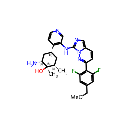 COCc1cc(F)c(-c2ccc3cnc(Nc4cnccc4[C@H]4C[C@@H](N)[C@](C)(O)[C@@H](C)C4)n3n2)c(F)c1